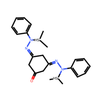 C[SiH](C)N(N=C1CC(=O)CC(=NN(c2ccccc2)[SiH](C)C)C1)c1ccccc1